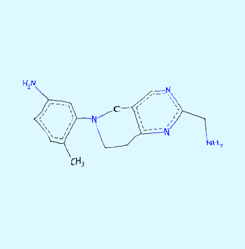 Cc1ccc(N)cc1N1CCc2nc(CN)ncc2C1